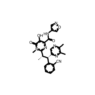 Cc1ncc([C@H](c2ccccc2C#N)[C@H](C)c2nc(C(=O)Nc3cnoc3)c(O)c(=O)n2C)nc1C